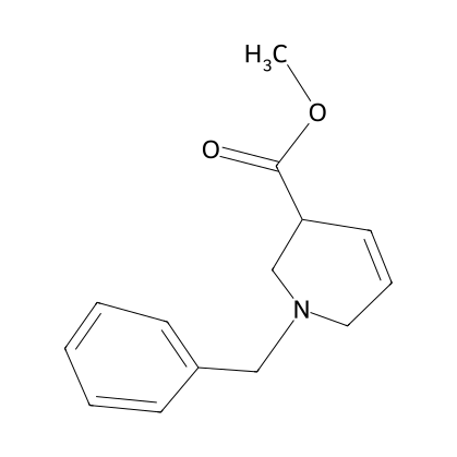 COC(=O)C1C=CCN(Cc2ccccc2)C1